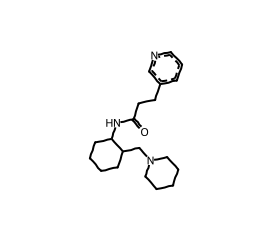 O=C(CCc1cccnc1)NC1CCCCC1CN1CCCCC1